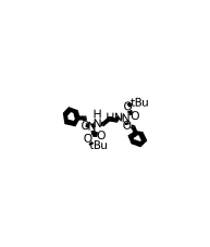 CC(C)(C)OC(=O)N(NCCCNN(OCc1ccccc1)C(=O)OC(C)(C)C)OCc1ccccc1